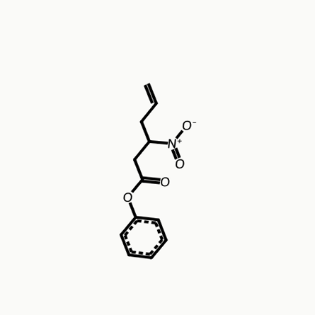 C=CCC(CC(=O)Oc1ccccc1)[N+](=O)[O-]